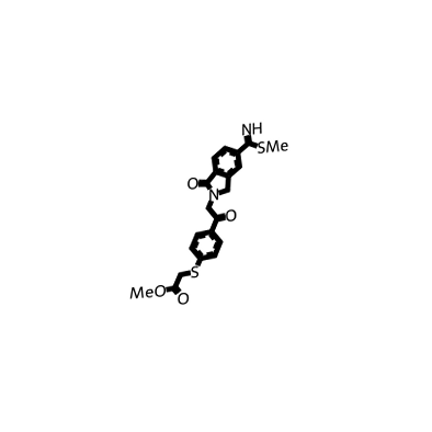 COC(=O)CSc1ccc(C(=O)CN2Cc3cc(C(=N)SC)ccc3C2=O)cc1